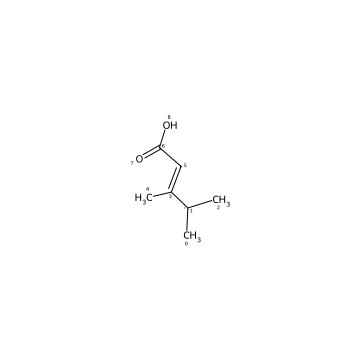 C[C](C)/C(C)=C/C(=O)O